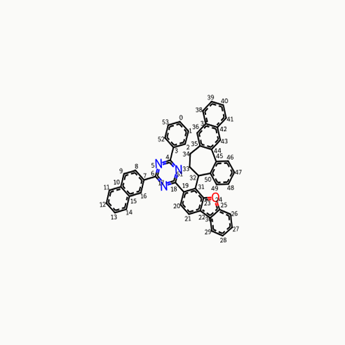 c1ccc(-c2nc(-c3ccc4ccccc4c3)nc(-c3ccc4c(oc5ccccc54)c3C3CCc4cc5ccccc5cc4-c4ccccc43)n2)cc1